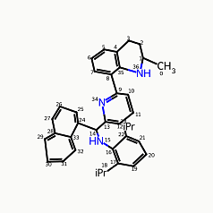 CC1CCc2cccc(-c3cccc(C(Nc4c(C(C)C)cccc4C(C)C)c4cccc5ccccc45)n3)c2N1